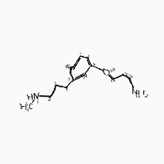 CNCCCc1cccc(OCCN)c1